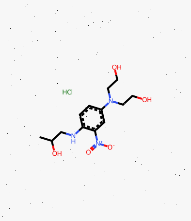 CC(O)CNc1ccc(N(CCO)CCO)cc1[N+](=O)[O-].Cl